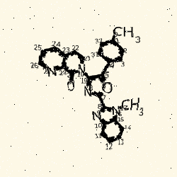 Cc1ccc(-c2oc(-c3nc4ccccc4n3C)nc2-n2ccc3cccnc3c2=O)cc1